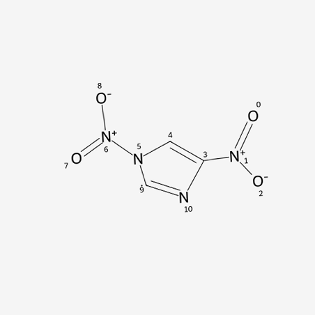 O=[N+]([O-])c1cn([N+](=O)[O-])[c]n1